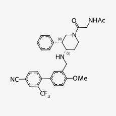 COc1ccc(-c2ccc(C#N)cc2C(F)(F)F)cc1CN[C@H]1CCN(C(=O)CNC(C)=O)C[C@H]1c1ccccc1